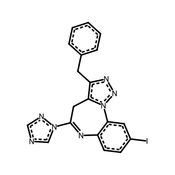 Ic1ccc2c(c1)-n1nnc(Cc3ccccc3)c1CC(n1cncn1)=N2